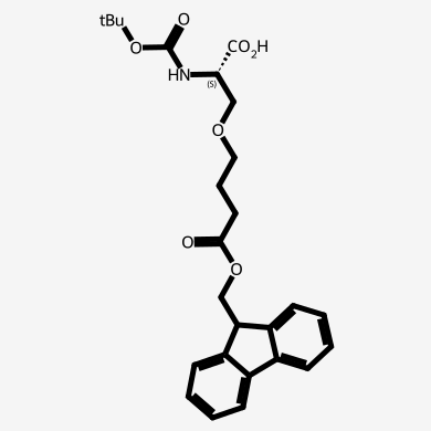 CC(C)(C)OC(=O)N[C@@H](COCCCC(=O)OCC1c2ccccc2-c2ccccc21)C(=O)O